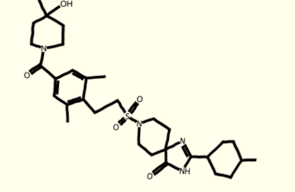 Cc1cc(C(=O)N2CCC(C)(O)CC2)cc(C)c1CCS(=O)(=O)N1CCC2(CC1)N=C(C1CCC(C)CC1)NC2=O